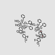 [2H]C([2H])(c1ccc(OCC)c(F)c1)c1cc([C@]2(OC)OC(CO)(CO)[C@@H](OCc3ccccc3)[C@H](OCc3ccccc3)[C@H]2OCc2ccccc2)ccc1Cl.[2H]C([2H])(c1ccc(OCC)c(F)c1)c1cc([C@]23OC[C@](CO)(O2)[C@@H](OCc2ccccc2)[C@H](OCc2ccccc2)[C@H]3OCc2ccccc2)ccc1Cl